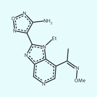 CCn1c(-c2nonc2N)nc2cncc(/C(C)=N\OC)c21